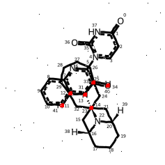 O=c1ccn(-c2nc3ccccc3n([C@H]3C[C@H]4CCC[C@@H](C3)N4[C@@H]3C[C@@H]4CCCC[C@@H](C4)C3)c2=O)c(=O)[nH]1